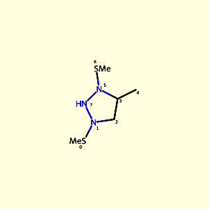 CSN1CC(C)N(SC)N1